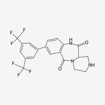 O=C1Nc2ccc(-c3cc(C(F)(F)F)cc(C(F)(F)F)c3)cc2C(=O)N2CCNCC12